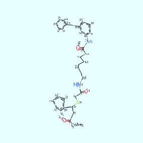 COC(=O)CC(SCC(=O)NCCCCCC(=O)Nc1cccc(-c2ccccc2)c1)c1ccccc1